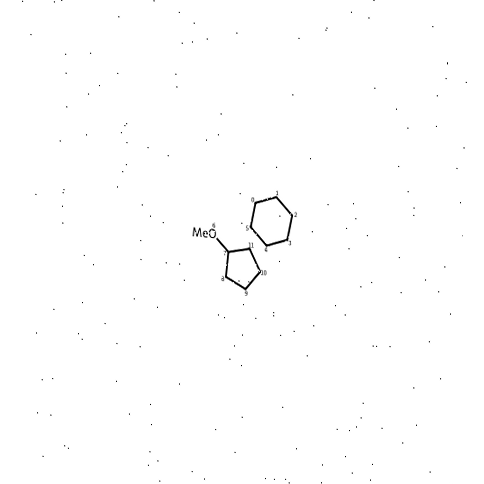 C1CCCCC1.COC1CCCC1